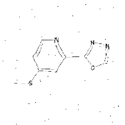 CSc1ccnc(-c2nnco2)c1